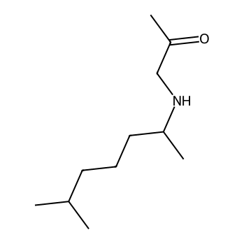 CC(=O)CNC(C)CCCC(C)C